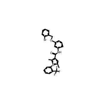 Cc1cc(C(=O)Nc2cccc(OCc3ccccc3Br)c2)c(C)n1-c1ccccc1C(F)(F)F